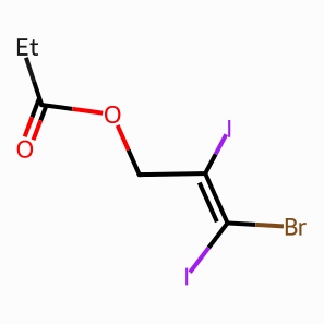 CCC(=O)OCC(I)=C(Br)I